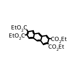 CCOC(=O)c1cc2cc3cc(C(=O)OCC)c(C(=O)OCC)cc3cc2cc1C(=O)OCC